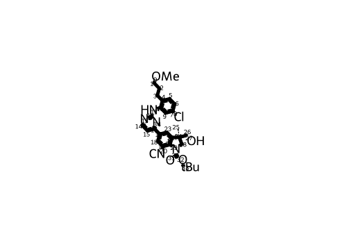 COCCCc1ccc(Cl)cc1Nc1nccc(-c2cc(C#N)c3c(c2)[C@@](C)(CO)CN3C(=O)OC(C)(C)C)n1